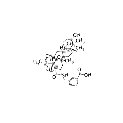 C=C(C)[C@@H]1CC[C@]2(C(=O)NCc3cccc(C(=O)O)c3)CC[C@]3(C)[C@H](CC[C@@H]4[C@@]5(C)CC[C@H](O)C(C)(C)[C@@H]5CC[C@]43C)[C@@H]12